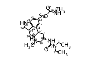 CCN(CC)C(=O)N[C@H]1CC2c3cc(SOC(=O)NC)cc4c3C(CN4)C[C@H]2N(C)C1